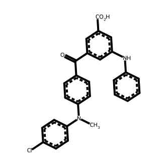 CN(c1ccc(Cl)cc1)c1ccc(C(=O)c2cc(Nc3ccccc3)cc(C(=O)O)c2)cc1